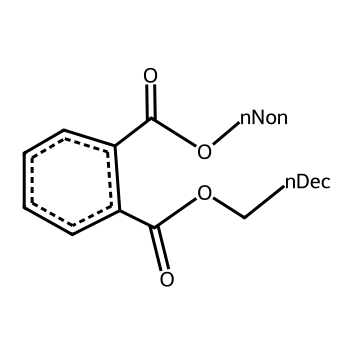 CCCCCCCCCCCOC(=O)c1ccccc1C(=O)OCCCCCCCCC